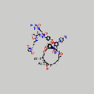 CO[C@H]1/C=C/O[C@@]2(C)Oc3c(C)c(O)c4c(=O)c(c5sc6cc(N7CCC(N(C)C)CC7)cc(OCc7ccc(NC(=O)[C@H](CCCNC(N)=O)NC(=O)[C@@H](NC(=O)CCCCCN8C(=O)C=CC8=O)C(C)C)cc7)c6nc-5c4c3C2=O)NC(=O)/C(C)=C\C=C\[C@H](C)C[C@@H](C)[C@@H](O)[C@@H](C)[C@H](OC(C)=O)[C@@H]1C